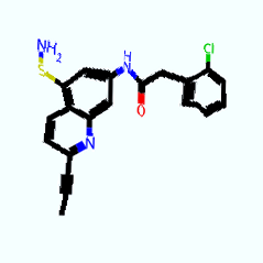 CC#Cc1ccc2c(SN)cc(NC(=O)Cc3ccccc3Cl)cc2n1